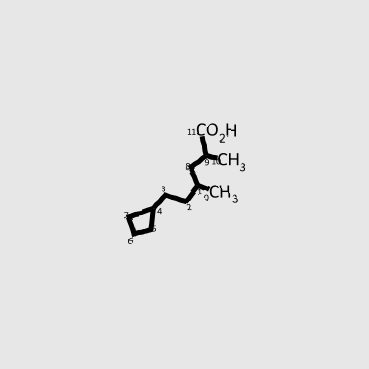 CC(CCC1CCC1)CC(C)C(=O)O